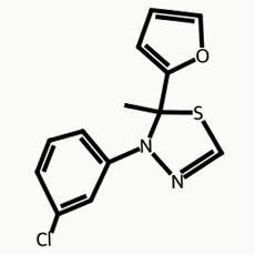 CC1(c2ccco2)SC=NN1c1cccc(Cl)c1